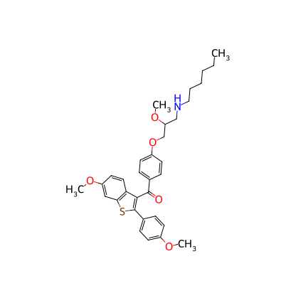 CCCCCCNCC(COc1ccc(C(=O)c2c(-c3ccc(OC)cc3)sc3cc(OC)ccc23)cc1)OC